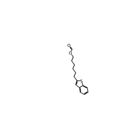 O=[C]OCCCCCCc1cc2ccccc2s1